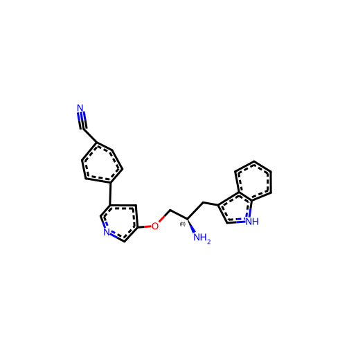 N#Cc1ccc(-c2cncc(OC[C@H](N)Cc3c[nH]c4ccccc34)c2)cc1